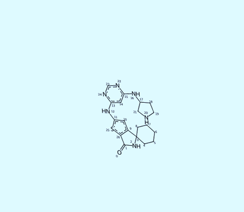 O=C1NC2(CCCCC2)c2cc(Nc3cc(NC4CCNC4)ncn3)sc21